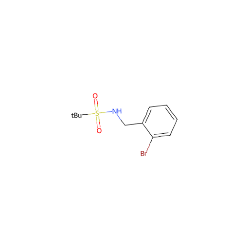 CC(C)(C)S(=O)(=O)NCc1ccccc1Br